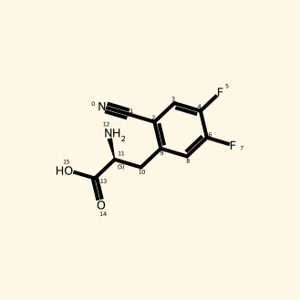 N#Cc1cc(F)c(F)cc1C[C@H](N)C(=O)O